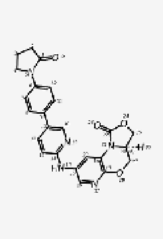 O=C1CCCN1c1ccc(-c2ccc(Nc3cnc4c(c3)N3C(=O)OC[C@H]3CO4)nc2)cc1